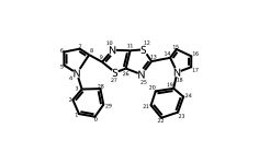 c1ccc(-n2cccc2-c2nc3sc(-c4cccn4-c4ccccc4)nc3s2)cc1